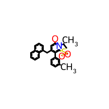 Cc1cccc(-c2c(Cc3cccc4ccccc34)cc(=O)n3c2S(=O)(=O)CC3C)c1